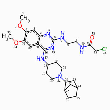 COc1cc2nc(NCCNC(=O)CCl)nc(NC3CCN(C4CC5CCC4C5)CC3)c2cc1OC